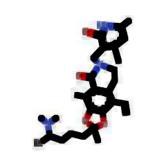 C=Cc1c2c(c(C)c3c1OC(C)(CCCC(CC)N(C)C)O3)C(=O)N(Cc1c(C)cc(C)[nH]c1=O)CC2